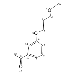 COCCCOc1cccc(C(C)=O)c1